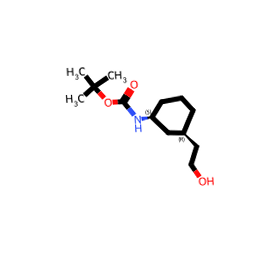 CC(C)(C)OC(=O)N[C@H]1CCC[C@@H](CCO)C1